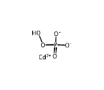 O=P([O-])([O-])OO.[Cd+2]